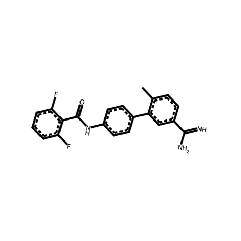 Cc1ccc(C(=N)N)cc1-c1ccc(NC(=O)c2c(F)cccc2F)cc1